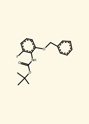 CC(C)(C)OC(=O)Nc1c(F)cccc1OCc1ccccc1